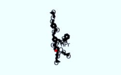 CCCN(/N=C/c1cc(CCOC(=O)c2ccc(OCOCC3CO3)cc2)ccc1OC(=O)c1ccc(OCOCC2CO2)c(OCOCC2CO2)c1)c1nc2ccccc2s1